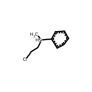 C[SiH](CCCl)c1ccccc1